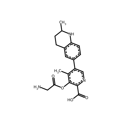 Cc1c(-c2ccc3c(c2)CCC(C)N3)cnc(C(=O)O)c1OC(=O)CN